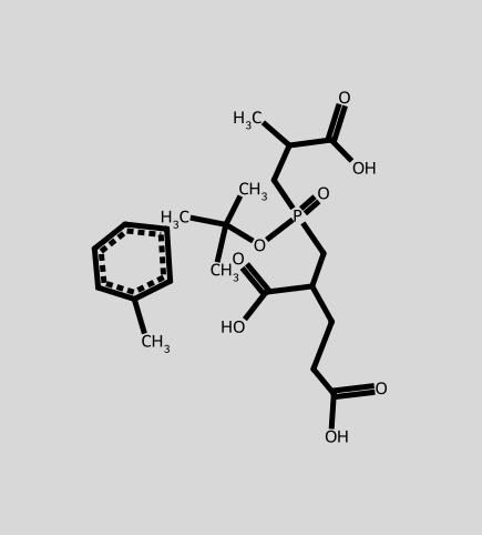 CC(CP(=O)(CC(CCC(=O)O)C(=O)O)OC(C)(C)C)C(=O)O.Cc1ccccc1